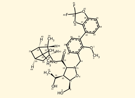 COc1c(CN2O[C@@H](CO)[C@@H]([C@H](C)O)[C@H]2C(=O)N[C@H]2C[C@H]3C[C@@H]([C@@H]2C)C3(C)C)cccc1-c1cccc2c1OC(F)(F)O2